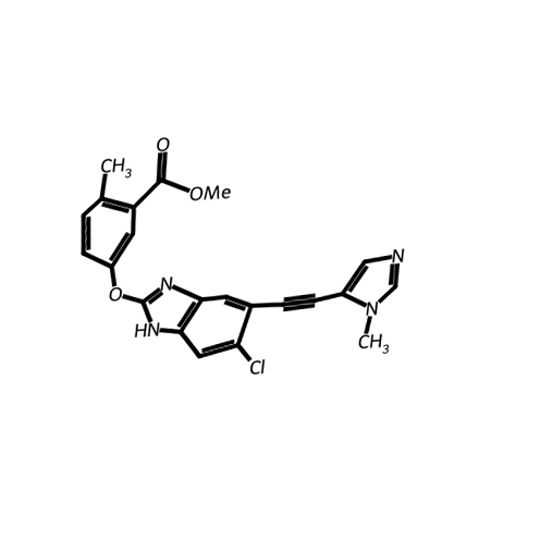 COC(=O)c1cc(Oc2nc3cc(C#Cc4cncn4C)c(Cl)cc3[nH]2)ccc1C